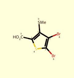 CSc1c(C(=O)O)sc(Br)c1Br